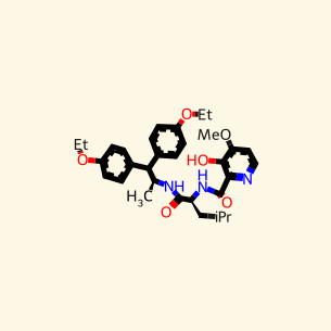 CCOc1ccc(C(c2ccc(OCC)cc2)[C@H](C)NC(=O)[C@H](CC(C)C)NC(=O)c2nccc(OC)c2O)cc1